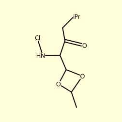 CC(C)CC(=O)C(NCl)C1OC(C)O1